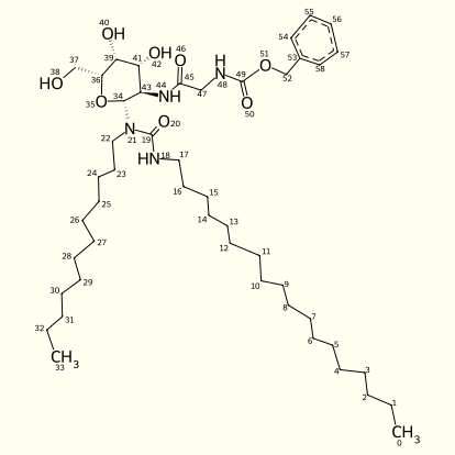 CCCCCCCCCCCCCCCCCCNC(=O)N(CCCCCCCCCCCC)[C@@H]1O[C@H](CO)[C@H](O)[C@H](O)[C@H]1NC(=O)CNC(=O)OCc1ccccc1